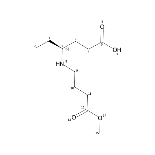 CC[C@@H](CCC(=O)O)NCCCC(=O)OC